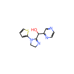 OC(C1=NCCN1c1cccs1)c1cnccn1